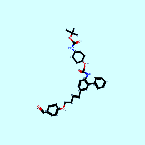 CC(C)(C)OC(=O)N[C@H]1CC[C@H](OC(=O)Nc2ccc(C=CCCOc3ccc(C=O)cc3)cc2-c2ccccc2)CC1